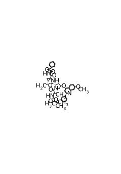 C=C[C@@H]1C[C@]1(NC(=O)[C@@H]1C[C@@H](Oc2cc(-c3ccccc3)nc3cc(OC)ccc23)CN1C(=O)[C@@H](C)NC(=O)OC(C)(C)C)C(=O)NS(=O)(=O)c1ccccc1